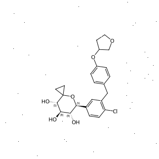 O[C@@H]1[C@@H](O)[C@H](O)C2(CC2)O[C@H]1c1ccc(Cl)c(Cc2ccc(OC3CCOC3)cc2)c1